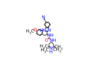 COc1ccc(CC(NC(=O)NC2CC(C)(C)NC(C)(C)C2)c2nc3ccc(C#N)cc3[nH]2)cc1